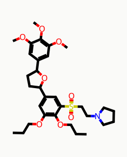 CCCOc1cc(C2CCC(c3cc(OC)c(OC)c(OC)c3)O2)cc(S(=O)(=O)CCN2CCCC2)c1OCCC